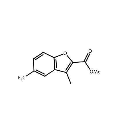 COC(=O)c1oc2ccc(C(F)(F)F)cc2c1C